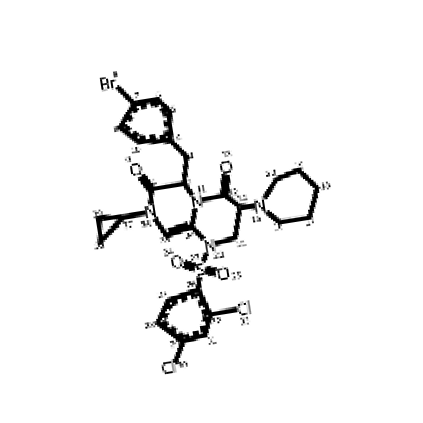 O=C1C(Cc2ccc(Br)cc2)N2C(=O)C(N3CCCCC3)CN(S(=O)(=O)c3ccc(Cl)cc3Cl)C2=CN1C1CC1